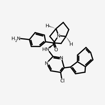 Nc1ccc(C(=O)N2[C@@H]3CC[C@H]2C[C@@H](Nc2ncc(Cl)c(C4=CCc5ccccc54)n2)C3)cc1